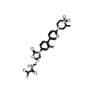 CC1CN(c2ccc(-c3ccc(N4C[C@H](CNC(=O)C(F)F)OC4=O)cc3F)cn2)CCS1(=O)=O